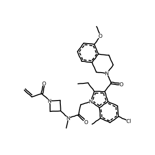 C=CC(=O)N1CC(N(C)C(=O)Cn2c(CC)c(C(=O)N3CCc4c(cccc4OC)C3)c3cc(Cl)cc(C)c32)C1